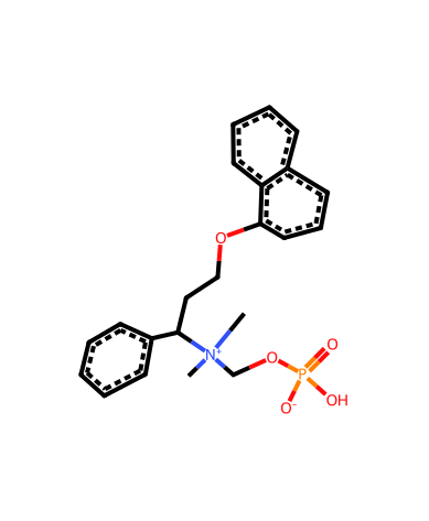 C[N+](C)(COP(=O)([O-])O)C(CCOc1cccc2ccccc12)c1ccccc1